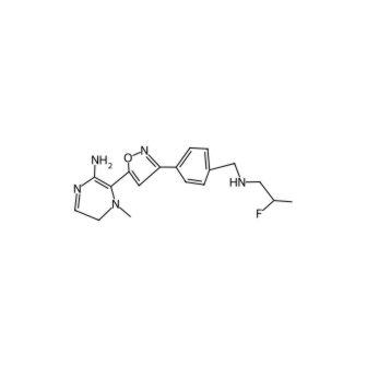 CC(F)CNCc1ccc(-c2cc(C3=C(N)N=CCN3C)on2)cc1